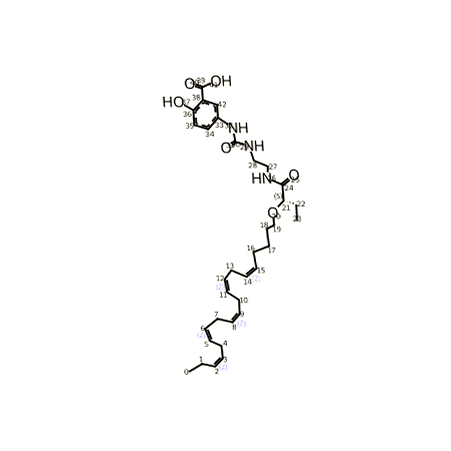 CC/C=C\C/C=C\C/C=C\C/C=C\C/C=C\CCCCO[C@@H](CC)C(=O)NCCNC(=O)Nc1ccc(O)c(C(=O)O)c1